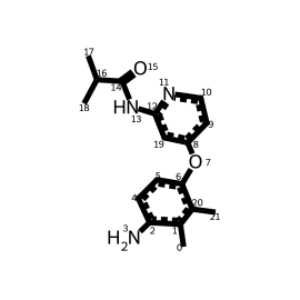 Cc1c(N)ccc(Oc2ccnc(NC(=O)C(C)C)c2)c1C